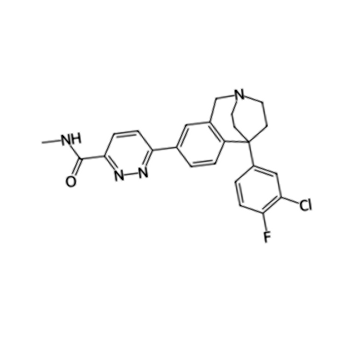 CNC(=O)c1ccc(-c2ccc3c(c2)CN2CCC3(c3ccc(F)c(Cl)c3)CC2)nn1